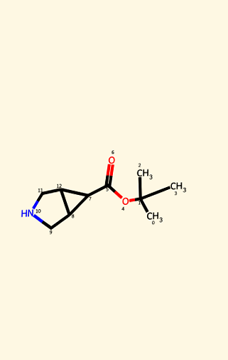 CC(C)(C)OC(=O)C1C2CNCC21